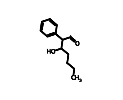 CCCCC(O)C([C]=O)c1ccccc1